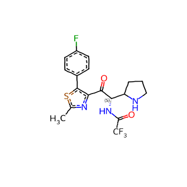 Cc1nc(C(=O)[C@@H](NC(=O)C(F)(F)F)C2CCCN2)c(-c2ccc(F)cc2)s1